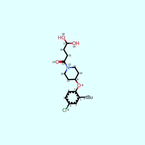 CC(C)(C)c1cc(Cl)ccc1OC1CCN(C(=O)CCC(O)O)CC1